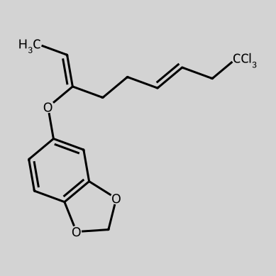 C/C=C(/CC/C=C/CC(Cl)(Cl)Cl)Oc1ccc2c(c1)OCO2